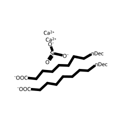 CCCCCCCCCCCCCCCCCC(=O)[O-].CCCCCCCCCCCCCCCCCC(=O)[O-].O=[Si]([O-])[O-].[Ca+2].[Ca+2]